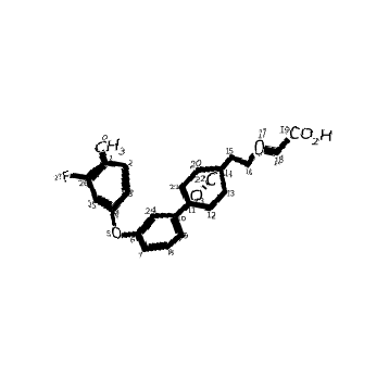 Cc1ccc(Oc2cccc(C34CCC(CCOCC(=O)O)(CC3)CO4)c2)cc1F